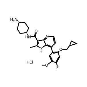 COc1cc(-c2ccnc3c(C(=O)N[C@H]4CC[C@@H](N)CC4)c(C)[nH]c23)c(OCC2CC2)cc1F.Cl